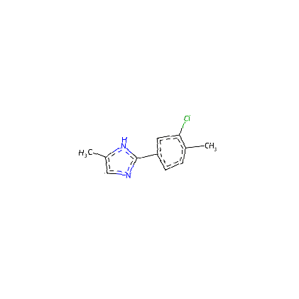 Cc1[c]nc(-c2ccc(C)c(Cl)c2)[nH]1